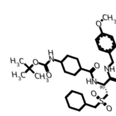 COc1ccc(CNC(=O)[C@H](CS(=O)(=O)CC2CCCCC2)NC(=O)C2CCC(NC(=O)OC(C)(C)C)CC2)cc1